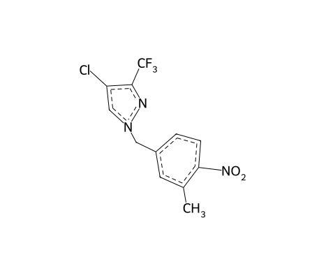 Cc1cc(Cn2cc(Cl)c(C(F)(F)F)n2)ccc1[N+](=O)[O-]